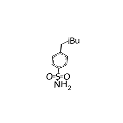 CCC(C)Cc1ccc(S(N)(=O)=O)cc1